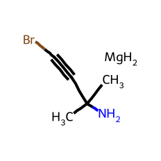 CC(C)(N)C#CBr.[MgH2]